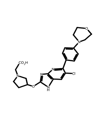 O=C(O)CN1CCC(Oc2nc3nc(-c4ccc(N5CCOCC5)cc4)c(Cl)cc3[nH]2)C1